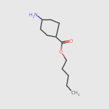 CCCCCOC(=O)C1CCC(N)CC1